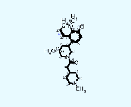 C=Nc1c(Cl)ccc(C2C[C@@H](C)CN(C(=O)CC3CCN(C)CC3)C2)c1/C=C\C